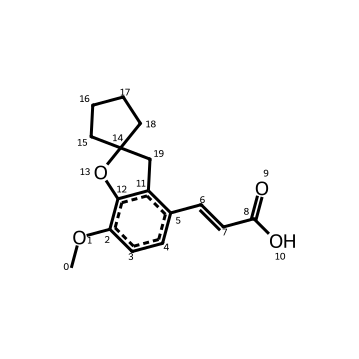 COc1ccc(C=CC(=O)O)c2c1OC1(CCCC1)C2